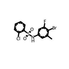 Cc1cc(NS(=O)(=O)c2ccccc2Cl)cc(F)c1Br